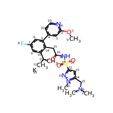 COc1cc(-c2cc(F)cc(C(C)C)c2CC(=O)NS(=O)(=O)c2cc(CN(C)C)n(C)n2)ccn1.[K]